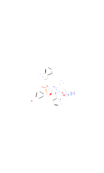 CCOc1ncccc1C1C(=O)[N+](C(=O)OC2CNc3ccccc32)(S(=O)(=O)c2ccc(OC)cc2OC)CC(C#N)N1C1CNC1